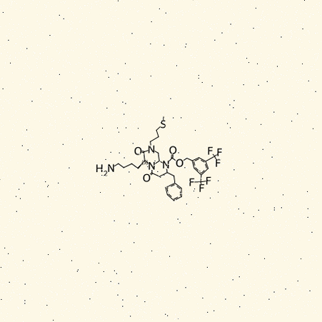 CSCCCN1CC2N(C(=O)OCc3cc(C(F)(F)F)cc(C(F)(F)F)c3)C(Cc3ccccc3)CC(=O)N2[C@@H](CCCCN)C1=O